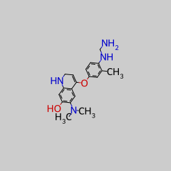 Cc1cc(OC2=CCNc3cc(O)c(N(C)C)cc32)ccc1NCN